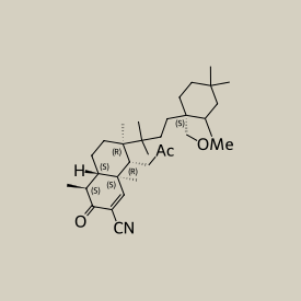 COC[C@]1(CCC(C)(C)[C@]2(C)CC[C@H]3[C@H](C)C(=O)C(C#N)=C[C@]3(C)[C@H]2CC(C)=O)CCC(C)(C)CC1C